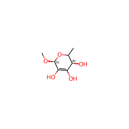 CO[C@H]1OC(C)[C@@H](O)C(O)=C1O